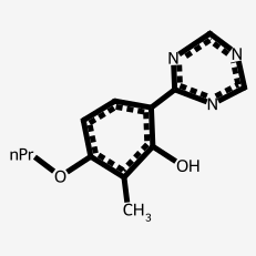 CCCOc1ccc(-c2ncncn2)c(O)c1C